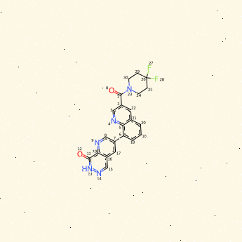 O=C(c1cnc2c(-c3cnc4c(=O)[nH]ncc4c3)cccc2c1)N1CCC(F)(F)CC1